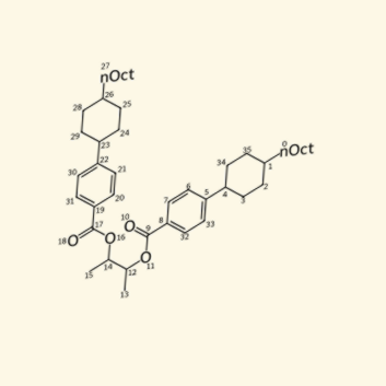 CCCCCCCCC1CCC(c2ccc(C(=O)OC(C)C(C)OC(=O)c3ccc(C4CCC(CCCCCCCC)CC4)cc3)cc2)CC1